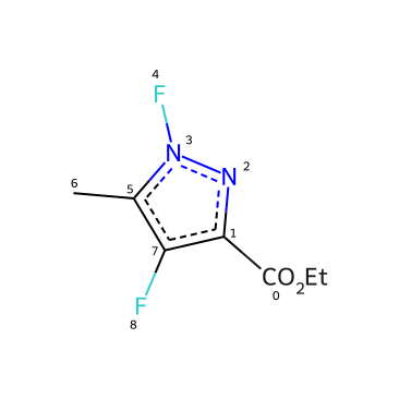 CCOC(=O)c1nn(F)c(C)c1F